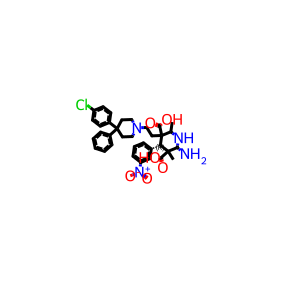 CC1NC(N)C(C)(C(=O)O)[C@H](c2cccc([N+](=O)[O-])c2)C1(CCN1CCC(c2ccccc2)(c2ccc(Cl)cc2)CC1)C(=O)O